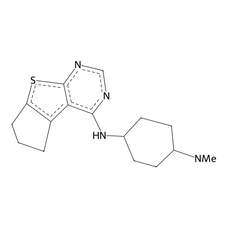 CNC1CCC(Nc2ncnc3sc4c(c23)CCC4)CC1